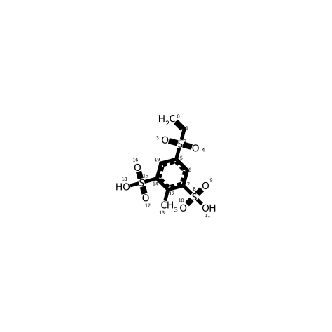 C=CS(=O)(=O)c1cc(S(=O)(=O)O)c(C)c(S(=O)(=O)O)c1